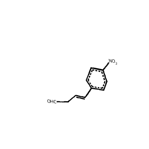 O=CCC=Cc1ccc([N+](=O)[O-])cc1